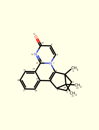 CC12CCC(c3c1n1ccc(=O)nc1c1ccccc31)C2(C)C